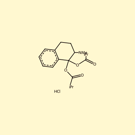 CNC1CCc2ccccc2C1(OC(=O)C(C)C)OC(=O)C(C)C.Cl